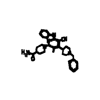 Cc1c(C2CCN(Cc3ccccc3)CC2)c(C#N)c2nc3ccccc3n2c1N1CCC(C(N)=O)CC1